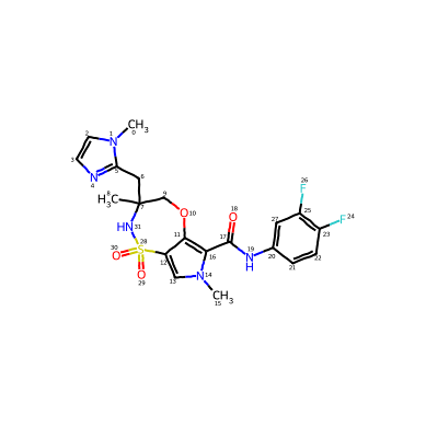 Cn1ccnc1CC1(C)COc2c(cn(C)c2C(=O)Nc2ccc(F)c(F)c2)S(=O)(=O)N1